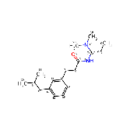 CC[C@H](NC(=O)CCc1cccc(CC(C)C)c1)N(C)C